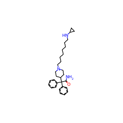 NC(=O)C(c1ccccc1)(c1ccccc1)C1CCN(CCCCCCCCNC2CC2)CC1